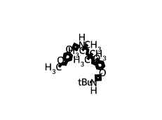 Cc1cc2ccc(O[C@H]3C[C@@H](NC(C)(C)CCC(C)(C)c4cc5cc(O[C@H]6C[C@@H](NC(C)(C)C)C6)ccc5o4)C3)cc2o1